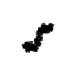 CCCN(Cc1ncc(-c2ccc3c(c2)oc2cc(-c4ccc5nc([C@@H]6CCCN6C(=O)[C@@H](NC(=O)OC)C(C)C)[nH]c5c4)ccc23)[nH]1)C(=O)[C@@H](NC(=O)OC)C(C)C